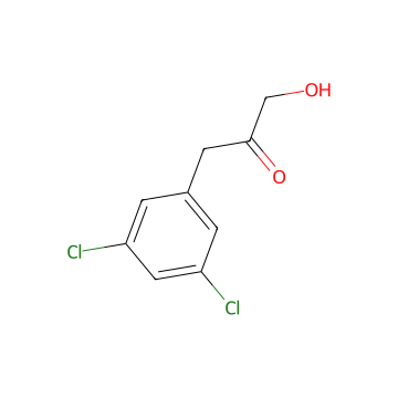 O=C(CO)Cc1cc(Cl)cc(Cl)c1